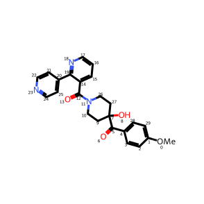 COc1ccc(C(=O)C2(O)CCN(C(=O)c3cccnc3-c3ccncc3)CC2)cc1